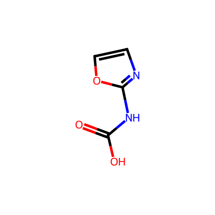 O=C(O)Nc1ncco1